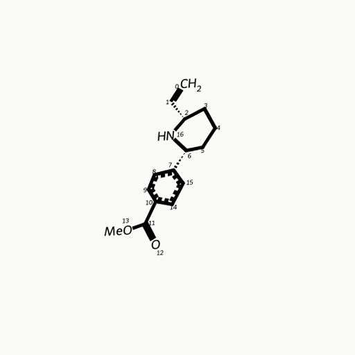 C=C[C@@H]1CCC[C@H](c2ccc(C(=O)OC)cc2)N1